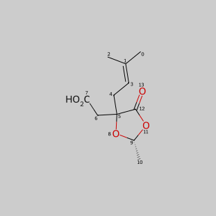 CC(C)=CCC1(CC(=O)O)O[C@@H](C)OC1=O